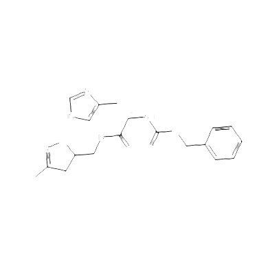 O=C(N[C@@H](Cc1c[nH]cn1)C(=O)NCC1CC(Br)=NO1)OCc1ccccc1